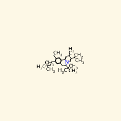 C=C(C)C1=CN2C(=CC1=C)c1cc(CC)c(CCC(C)(C)C)cc1CC2C(C)(C)C